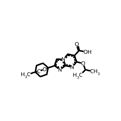 CC(C)Oc1nc2nc(C34CCC(C)(CC3)CO4)cn2cc1C(=O)O